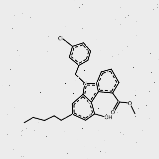 CCCCCc1cc(O)c2c3c(C(=O)OC)cccc3n(Cc3cccc(Cl)c3)c2c1